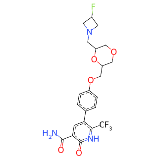 NC(=O)c1cc(-c2ccc(OCC3COCC(CN4CC(F)C4)O3)cc2)c(C(F)(F)F)[nH]c1=O